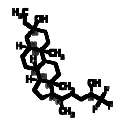 CC[C@]1(O)CC[C@]2(C)C3CC[C@]4(C)[C@@H]([C@H](C)CC[C@H](O)C(F)(F)F)CC[C@H]4[C@@H]3CC[C@H]2C1